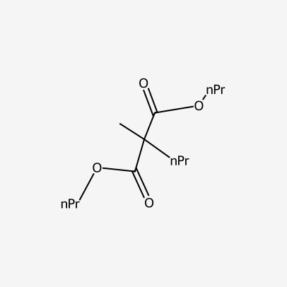 CCCOC(=O)C(C)(CCC)C(=O)OCCC